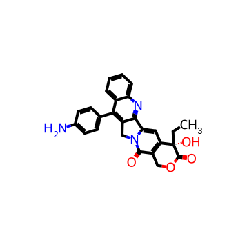 CC[C@@]1(O)C(=O)OCc2c1cc1n(c2=O)Cc2c-1nc1ccccc1c2-c1ccc(N)cc1